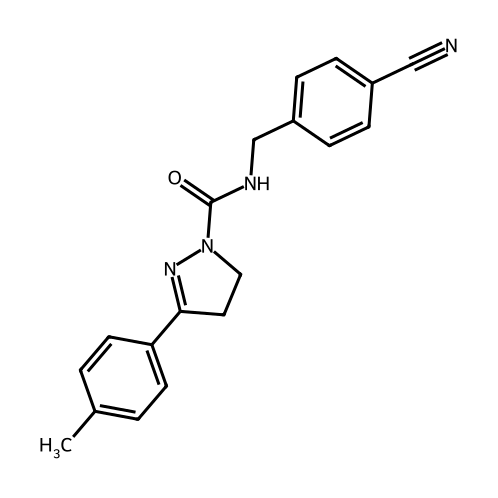 Cc1ccc(C2=NN(C(=O)NCc3ccc(C#N)cc3)CC2)cc1